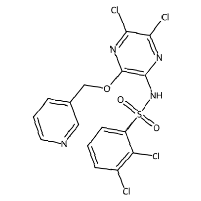 O=S(=O)(Nc1nc(Cl)c(Cl)nc1OCc1cccnc1)c1cccc(Cl)c1Cl